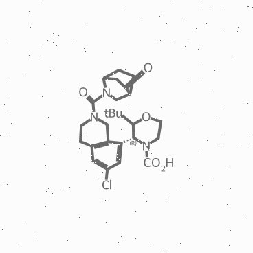 CC(C)(C)C1OCCN(C(=O)O)[C@@H]1c1cc(Cl)cc2c1CN(C(=O)N1CC3CCC1CC3=O)CC2